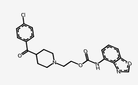 O=C(Nc1cccc2ocnc12)OCCN1CCC(C(=O)c2ccc(Cl)cc2)CC1